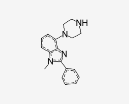 Cn1c(-c2ccccc2)nc2c(N3CCNCC3)cccc21